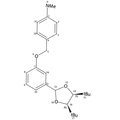 CNc1ccc(COc2cccc(C3O[C@@H](C(C)(C)C)[C@@H](C(C)(C)C)O3)c2)cc1